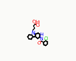 O=C(O)CCCn1c2ccccc2c2cc(NC(=O)c3ccccc3Cl)ccc21